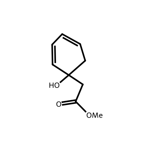 COC(=O)CC1(O)C=CC=CC1